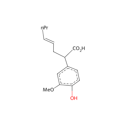 CCCC=CCC(C(=O)O)c1ccc(O)c(OC)c1